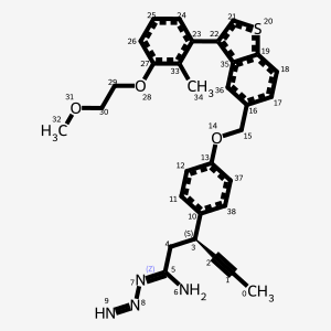 CC#C[C@@H](C/C(N)=N/N=N)c1ccc(OCc2ccc3scc(-c4cccc(OCCOC)c4C)c3c2)cc1